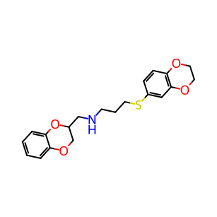 c1ccc2c(c1)OCC(CNCCCSc1ccc3c(c1)OCCO3)O2